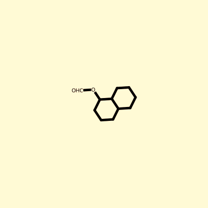 O=COC1CCCC2CCCCC21